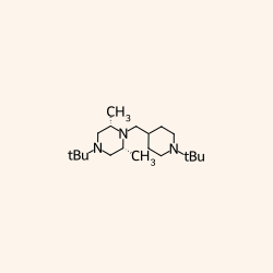 C[C@@H]1CN(C(C)(C)C)C[C@H](C)N1CC1CCN(C(C)(C)C)CC1